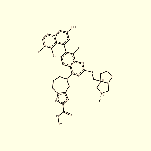 CCc1c(F)ccc2cc(O)cc(-c3ncc4c(N5CCCc6nn(C(=O)NC(C)C)cc6C5)nc(OC[C@@]56CCCN5C[C@H](F)C6)nc4c3F)c12